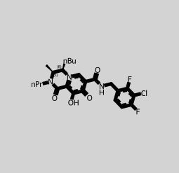 CCCC[C@@H]1[C@H](C)N(CCC)C(=O)c2c(O)c(=O)c(C(=O)NCc3ccc(F)c(Cl)c3F)cn21